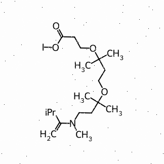 C=C(C(C)C)N(C)CCC(C)(C)OCCC(C)(C)OCCC(=O)OI